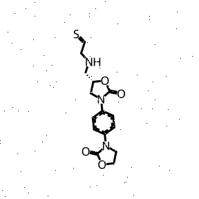 O=C1OCCN1c1ccc(N2C[C@H](CNCC=S)OC2=O)cc1